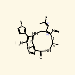 C=N/C1=C(\C=C(/C)F)CNc2nc3c(cnn3c(N)c2-c2ccn(C)c2)C(=O)NC[C@H](C)O1